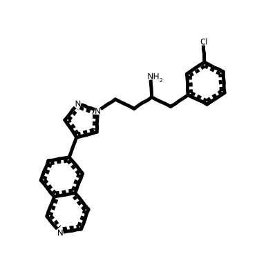 NC(CCn1cc(-c2ccc3cnccc3c2)cn1)Cc1cccc(Cl)c1